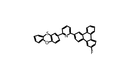 Fc1ccc2c3ccccc3c3cc(-c4cccc(-c5ccc6c(c5)Sc5ccccc5O6)n4)ccc3c2c1